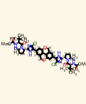 COC(=O)N[C@H](C(=O)N1[C@H](C)CC[C@H]1c1nc(Cl)c(-c2cc3c4c(c2)OCc2cc(-c5[nH]c([C@@H]6CC[C@@H](C)N6C(=O)[C@@H](NC(=O)OC)C(C)(C)C(F)(F)F)nc5Cl)cc(c2-4)OC3)[nH]1)C(C)(C)C(F)(F)F